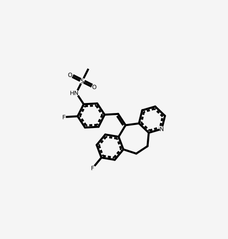 CS(=O)(=O)Nc1cc(/C=C2\c3ccc(F)cc3CCc3ncccc32)ccc1F